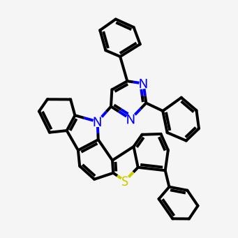 C1=CC(c2cccc3c2sc2ccc4c5c(n(-c6cc(-c7ccccc7)nc(-c7ccccc7)n6)c4c23)CCC=C5)=CCC1